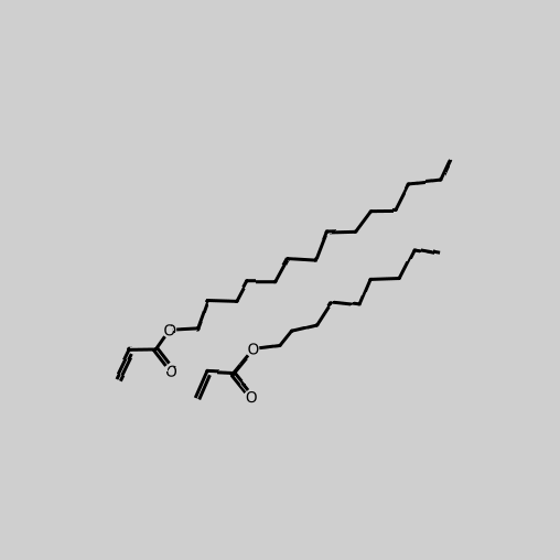 C=CC(=O)OCCCCCCCCC.C=CC(=O)OCCCCCCCCCCCCCC